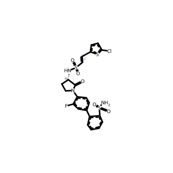 NS(=O)(=O)c1ccccc1-c1ccc(N2CC[C@H](NS(=O)(=O)/C=C/c3ccc(Cl)s3)C2=O)c(F)c1